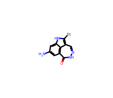 CCc1[nH]c2cc(N)cc3c2c1C=NNC3=O